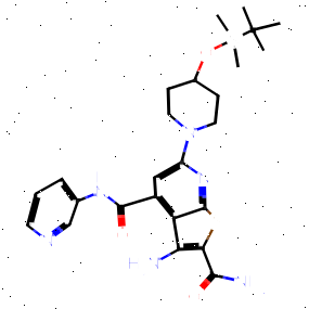 CC(C)(C)[Si](C)(C)OC1CCN(c2cc(C(=O)Nc3cccnc3)c3c(N)c(C(N)=O)sc3n2)CC1